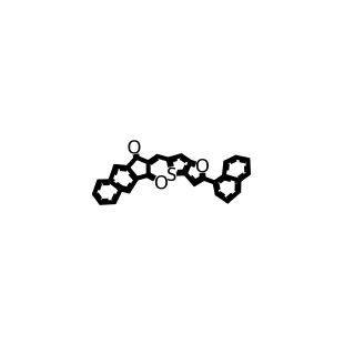 O=C1C(=Cc2cc3oc(-c4cccc5ccccc45)cc3s2)C(=O)c2cc3ccccc3cc21